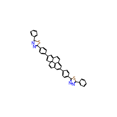 c1ccc(-c2nnc(-c3ccc(-c4cc5ccc6cc(-c7ccc(-c8nnc(-c9ccccc9)s8)cc7)cc7ccc(c4)c5c67)cc3)s2)cc1